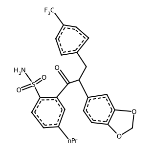 CCCc1ccc(S(N)(=O)=O)c(C(=O)C(Cc2ccc(C(F)(F)F)cc2)c2ccc3c(c2)OCO3)c1